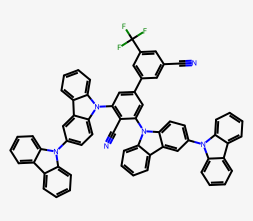 N#Cc1cc(-c2cc(-n3c4ccccc4c4cc(-n5c6ccccc6c6ccccc65)ccc43)c(C#N)c(-n3c4ccccc4c4cc(-n5c6ccccc6c6ccccc65)ccc43)c2)cc(C(F)(F)F)c1